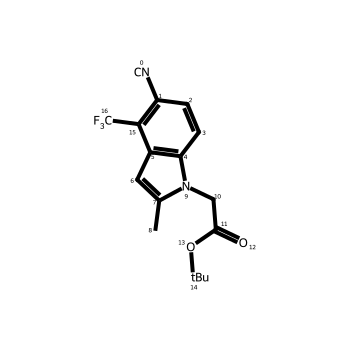 [C-]#[N+]c1ccc2c(cc(C)n2CC(=O)OC(C)(C)C)c1C(F)(F)F